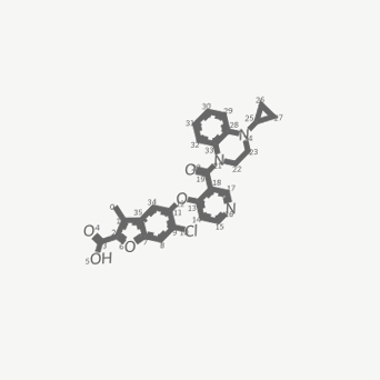 Cc1c(C(=O)O)oc2cc(Cl)c(Oc3ccncc3C(=O)N3CCN(C4CC4)c4ccccc43)cc12